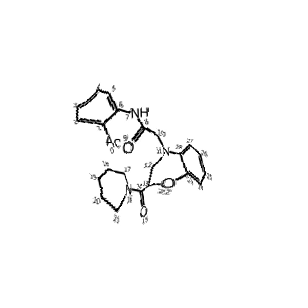 CC(=O)c1ccccc1NC(=O)CN1CC(C(=O)N2CCCCC2)Oc2ccccc21